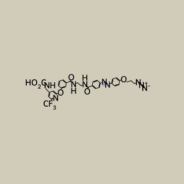 [N-]=[N+]=NCCCOc1ccc(/N=N/c2ccc(C(=O)NCCNC(=O)c3cccc(Oc4cc(CNC(=O)O)cc(C(F)(F)F)n4)c3)cc2)cc1